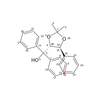 CC1(C)O[C@@H](C(O)(c2ccccc2)c2ccccc2)[C@H](c2ccccc2)O1